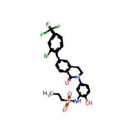 CCCS(=O)(=O)Nc1cc(N2CCc3cc(-c4ccc(C(F)(F)F)cc4Br)ccc3C2=O)ccc1O